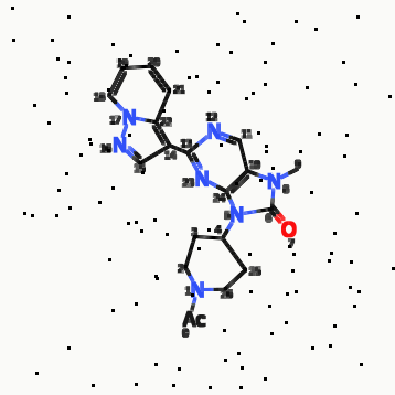 CC(=O)N1CCC(n2c(=O)n(C)c3cnc(-c4cnn5ccccc45)nc32)CC1